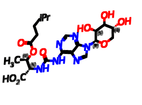 CC(C)CCC(=O)O[C@H](C)[C@H](NC(=O)Nc1ncnc2c1ncn2[C@@H]1OC[C@@H](O)C(O)[C@@H]1O)C(=O)O